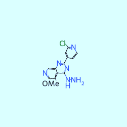 COc1cncc2nc(-c3ccnc(Cl)c3)nc(NN)c12